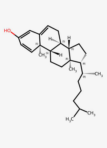 CC(C)CCC[C@@H](C)[C@H]1CC[C@H]2[C@@H]3CC=C4C=C(O)C=C[C@]4(C)[C@H]3CC[C@]12C